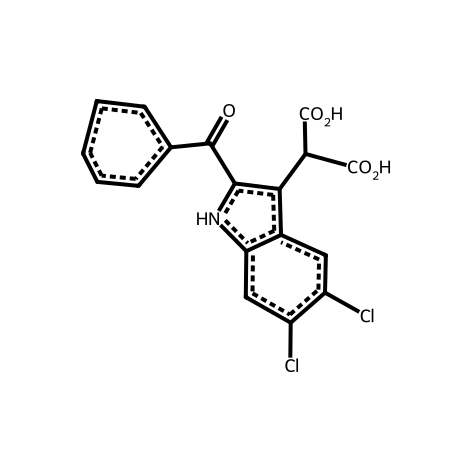 O=C(c1ccccc1)c1[nH]c2cc(Cl)c(Cl)cc2c1C(C(=O)O)C(=O)O